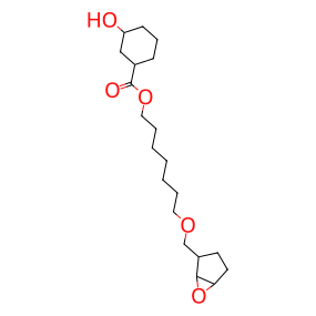 O=C(OCCCCCCCOCC1CCC2OC12)C1CCCC(O)C1